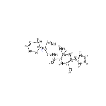 N=C/C(CNC(=O)c1nc(Cl)c(-n2nccn2)nc1N)=C1/C=CC=CN1